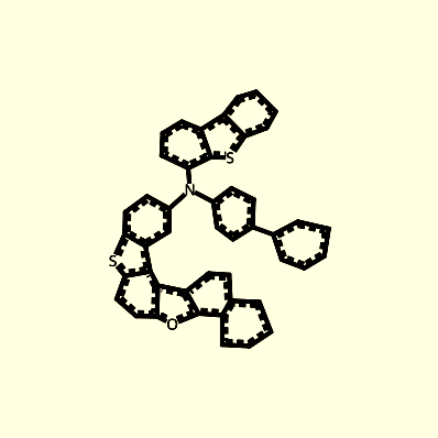 c1ccc(-c2ccc(N(c3ccc4sc5ccc6oc7c8ccccc8ccc7c6c5c4c3)c3cccc4c3sc3ccccc34)cc2)cc1